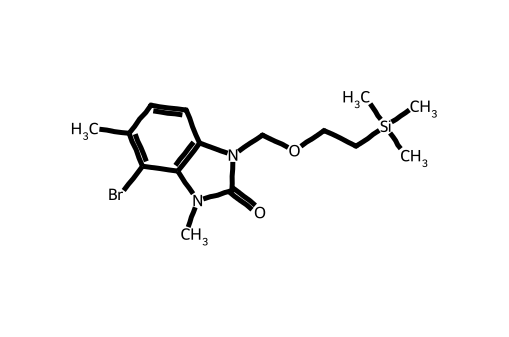 Cc1ccc2c(c1Br)n(C)c(=O)n2COCC[Si](C)(C)C